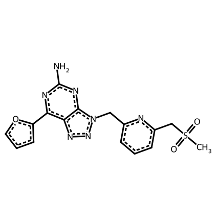 CS(=O)(=O)Cc1cccc(Cn2nnc3c(-c4ccco4)nc(N)nc32)n1